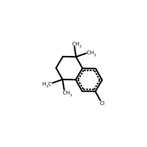 CC1(C)CCC(C)(C)c2cc(Cl)ccc21